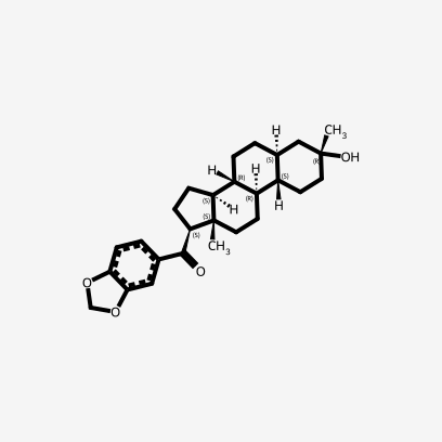 C[C@@]1(O)CC[C@H]2[C@@H](CC[C@@H]3[C@@H]2CC[C@]2(C)[C@@H](C(=O)c4ccc5c(c4)OCO5)CC[C@@H]32)C1